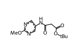 COc1ncc(NC(=O)CC(=O)OC(C)(C)C)cn1